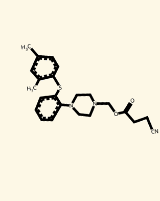 Cc1ccc(Sc2ccccc2N2CCN(COC(=O)CCC#N)CC2)c(C)c1